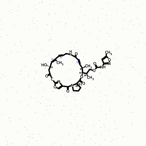 CC1=C\[C@@H](O)CC(=O)Cc2nc(co2)C(=O)N2CCC[C@@H]2C(=O)O[C@H]([C@H](C)COC(=O)Nc2cc(C)on2)[C@H](C)/C=C/C(=O)NC\C=C\1